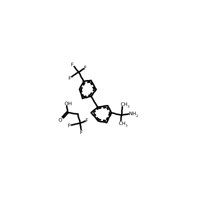 CC(C)(N)c1cccc(-c2ccc(C(F)(F)F)cc2)c1.O=C(O)CC(F)(F)F